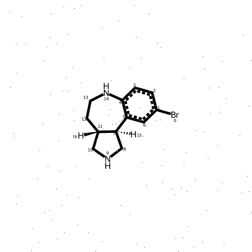 Brc1ccc2c(c1)[C@H]1CNC[C@@H]1CCN2